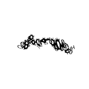 O=C1CC[C@H](N2Cc3c(ccc4c3OCC43CCN(CC4CC(N5CCC(c6ccc7c(c6)C6(CCCCC6)c6nc(=O)c8c(Cl)cccc8n6-7)CC5)C4)CC3)C2=O)C(=O)N1